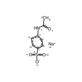 CC(=O)Nc1ccc(S(=O)(=O)[O-])cc1.[Na+]